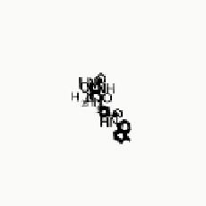 Cc1cccc2c1CCC[C@H]2NC(=O)[C@@H]1CC[C@H](NC(=O)c2[nH]c(=O)[nH]c(=O)c2N)C1